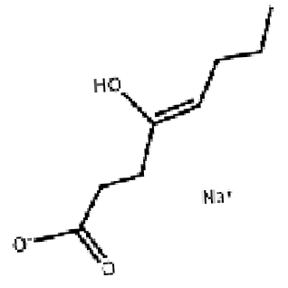 CCCC=C(O)CCC(=O)[O-].[Na+]